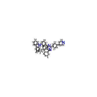 CC1(C)c2ccccc2-c2nc(-c3ccc(-c4ccncc4)cc3)nc(-c3cccc(-n4c5ccccc5c5ccccc54)c3)c21